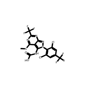 CSc1nc(C(F)(F)F)nc2nn(-c3c(Cl)cc(C(F)(F)F)cc3Cl)c(NC(=O)O)c12